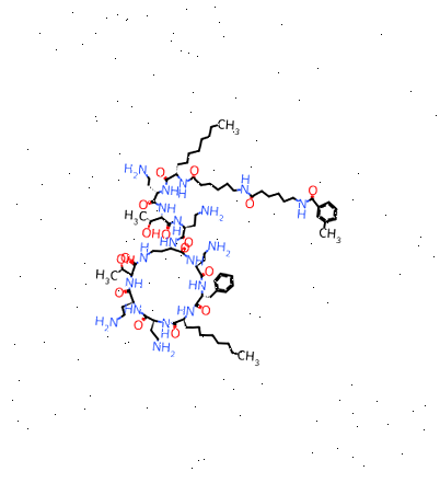 CCCCCCCC[C@H](NC(=O)CCCCCNC(=O)CCCCCNC(=O)c1cccc(C)c1)C(=O)N[C@@H](CCN)C(=O)N[C@H](C(=O)N[C@@H](CCN)C(=O)N[C@H]1CCNC(=O)[C@H]([C@@H](C)O)NC(=O)[C@H](CCN)NC(=O)[C@H](CCN)NC(=O)[C@H](CCCCCCCC)NC(=O)[C@@H](Cc2ccccc2)NC(=O)[C@H](CCN)NC1=O)[C@@H](C)O